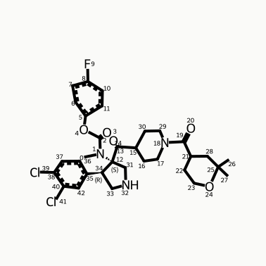 CN(C(=O)Oc1ccc(F)cc1)[C@]1(C(=O)C2CCN(C(=O)C3CCOC(C)(C)C3)CC2)CNC[C@H]1c1ccc(Cl)c(Cl)c1